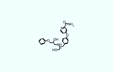 NC(=O)c1cc(Oc2ccc(C[C@@H](CO)NCC(O)COc3ccccc3)cc2)ccn1